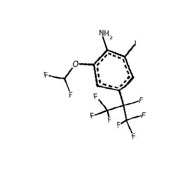 Nc1c(I)cc(C(F)(C(F)(F)F)C(F)(F)F)cc1OC(F)F